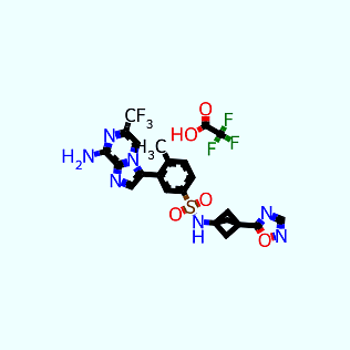 Cc1ccc(S(=O)(=O)NC23CC(c4ncno4)(C2)C3)cc1-c1cnc2c(N)nc(C(F)(F)F)cn12.O=C(O)C(F)(F)F